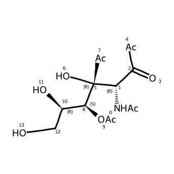 CC(=O)N[C@@H](C(=O)C(C)=O)[C@](O)(C(C)=O)[C@@H](OC(C)=O)[C@H](O)CO